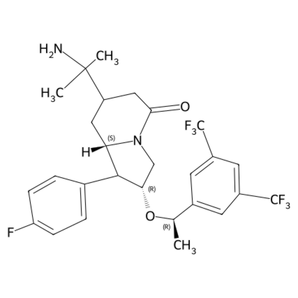 C[C@@H](O[C@H]1CN2C(=O)CC(C(C)(C)N)C[C@H]2C1c1ccc(F)cc1)c1cc(C(F)(F)F)cc(C(F)(F)F)c1